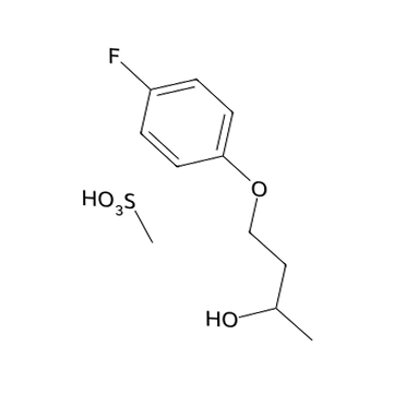 CC(O)CCOc1ccc(F)cc1.CS(=O)(=O)O